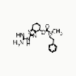 CN(CCc1ccccc1)C(=O)OC1CCCc2sc(NC(=N)N)nc21